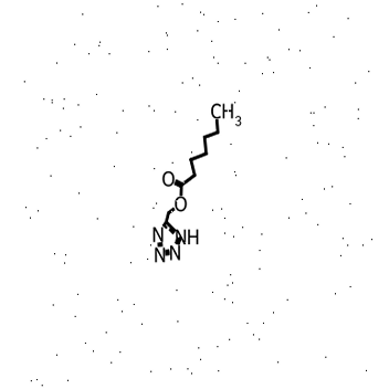 CCCCCCC(=O)OCc1nnn[nH]1